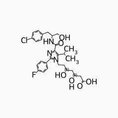 CC(C)c1c(C(=O)NC(CO)Cc2ccc(Cl)cc2)nc(-c2ccc(F)cc2)n1CC[C@@H](O)C[C@@H](O)CC(=O)O